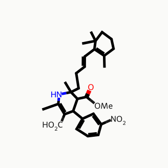 COC(=O)C1C(c2cccc([N+](=O)[O-])c2)C(C(=O)O)=C(C)NC1(C)CCC=CC1=C(C)CCCC1(C)C